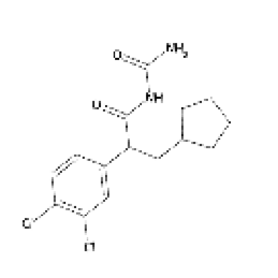 NC(=O)NC(=O)C(CC1CCCC1)c1ccc(Cl)c(Cl)c1